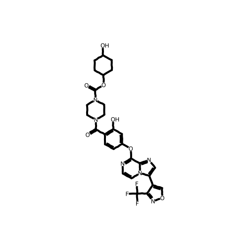 O=C(OC1CCC(O)CC1)N1CCN(C(=O)c2ccc(Oc3nccn4c(-c5conc5C(F)(F)F)cnc34)cc2O)CC1